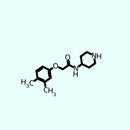 Cc1ccc(OCC(=O)NC2CCNCC2)cc1C